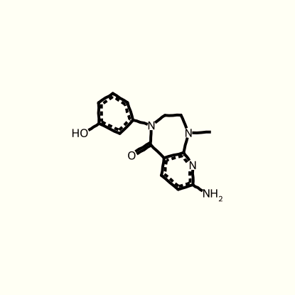 CN1CCN(c2cccc(O)c2)C(=O)c2ccc(N)nc21